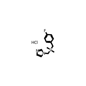 C[Si](C)(Cc1ccc(F)cc1)Cn1ccnc1.Cl